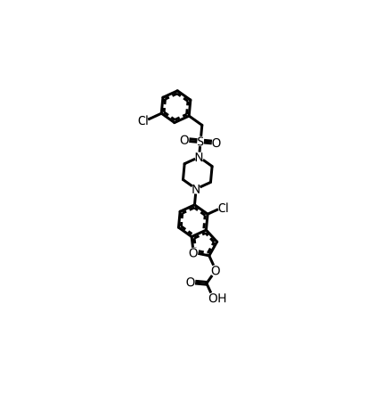 O=C(O)Oc1cc2c(Cl)c(N3CCN(S(=O)(=O)Cc4cccc(Cl)c4)CC3)ccc2o1